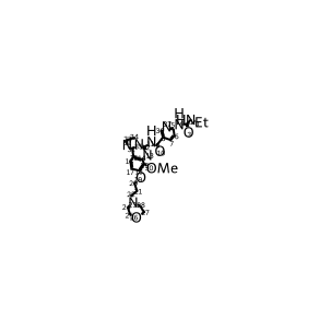 CCNC(=O)Nc1ccc(C(=O)NC2=Nc3c(ccc(OCCCN4CCOCC4)c3OC)C3=NCCN23)cn1